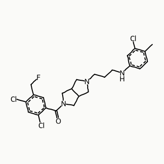 Cc1ccc(NCCCN2CC3CN(C(=O)c4cc(CF)c(Cl)cc4Cl)CC3C2)cc1Cl